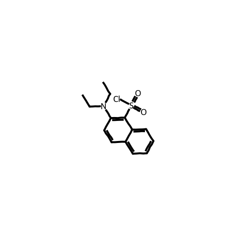 CCN(CC)c1ccc2ccccc2c1S(=O)(=O)Cl